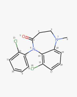 CN1CCC(=O)N(c2ccccc2Cl)c2c(Cl)cccc21